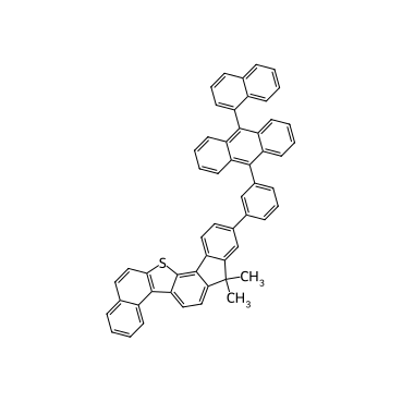 CC1(C)c2cc(-c3cccc(-c4c5ccccc5c(-c5cccc6ccccc56)c5ccccc45)c3)ccc2-c2c1ccc1c2sc2ccc3ccccc3c21